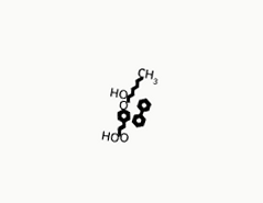 CCCCCCC(O)COc1ccc(/C=C/C(=O)O)cc1.c1ccc(-c2ccccc2)cc1